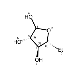 CC[C@H]1OC(O)[C@@H](O)[C@@H]1O